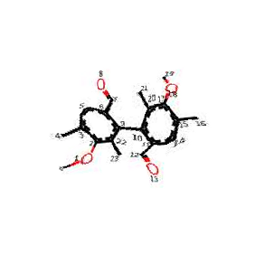 COc1c(C)cc(C=O)c(-c2c(C=O)cc(C)c(OC)c2C)c1C